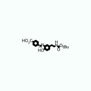 CC(C)(C)OC(=O)NCCc1ccc(O)c(/N=N/c2ccc(C(=O)O)cc2)c1